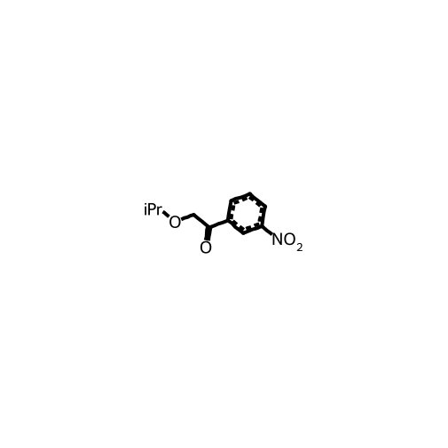 CC(C)OCC(=O)c1cccc([N+](=O)[O-])c1